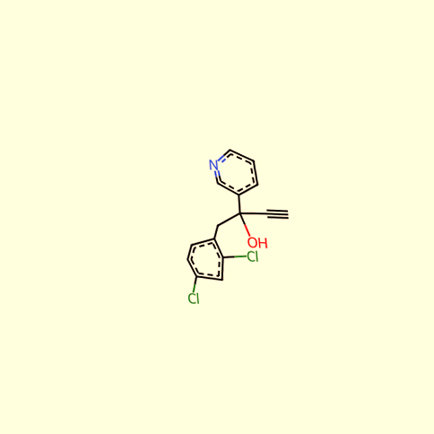 C#CC(O)(Cc1ccc(Cl)cc1Cl)c1cccnc1